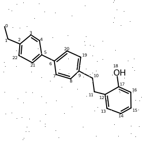 CCc1ccc(-c2ccc(CCc3ccccc3O)cc2)cc1